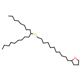 CCCCCCCCCC(CCCCCCCC)SCCCCCCCCCCCC1CCCO1